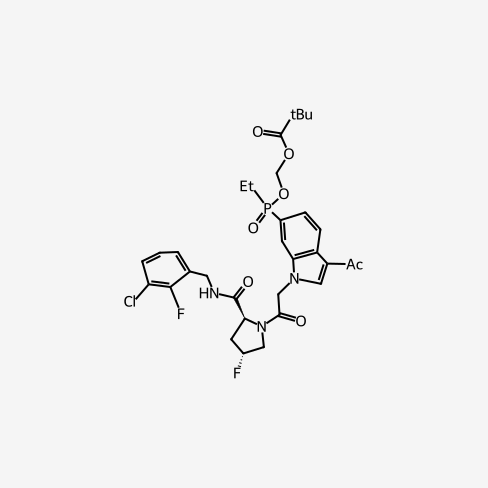 CCP(=O)(OCOC(=O)C(C)(C)C)c1ccc2c(C(C)=O)cn(CC(=O)N3C[C@H](F)C[C@H]3C(=O)NCc3cccc(Cl)c3F)c2c1